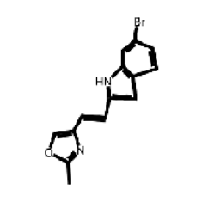 Cc1nc(C=Cc2cc3ccc(Br)cc3[nH]2)co1